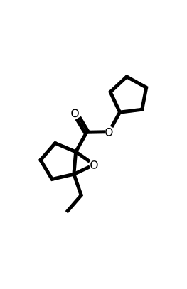 CCC12CCCC1(C(=O)OC1CCCC1)O2